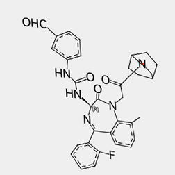 Cc1cccc2c1N(CC(=O)N1CC3CCC(CC3)C1)C(=O)[C@H](NC(=O)Nc1cccc(C=O)c1)N=C2c1ccccc1F